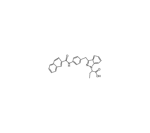 CCC(C(=O)O)n1nc(Cc2ccc(NC(=O)c3ccc4ccccc4c3)cc2)c2ccccc21